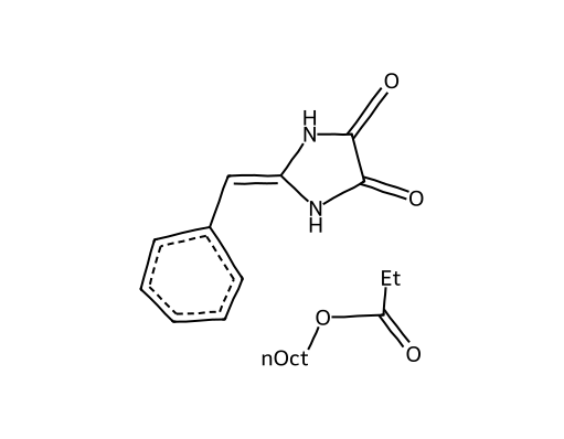 CCCCCCCCOC(=O)CC.O=C1NC(=Cc2ccccc2)NC1=O